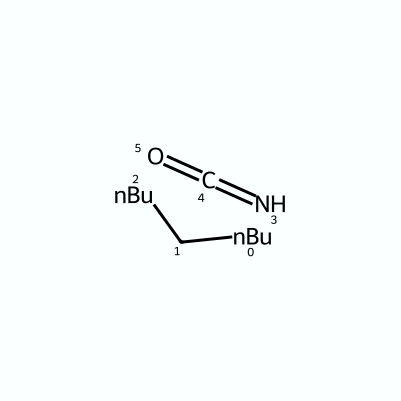 CCCCCCCCC.N=C=O